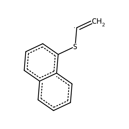 C=[C]Sc1cccc2ccccc12